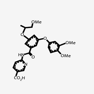 COCC(C)Oc1cc(Oc2ccc(OC)c(OC)c2)cc(C(=O)Nc2ccc(C(=O)O)cn2)c1